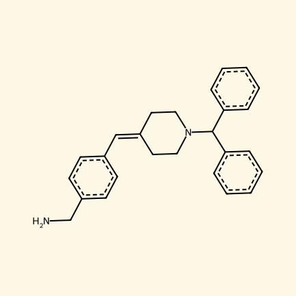 NCc1ccc(C=C2CCN(C(c3ccccc3)c3ccccc3)CC2)cc1